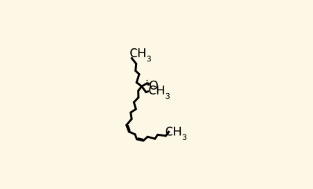 CCCCC/C=C\C/C=C\CCCCCCC([C]=O)(CC)CCCCCC